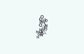 COC[C@@H](NC(=O)c1nccc2ccccc12)C1=NOC(Cc2ccccc2)(C(=O)N[C@@H](CC(C)C)B2O[C@@H]3C[C@@H]4C[C@@H](C4(C)C)[C@]3(C)O2)C1